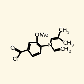 C=CN(C=C(C)C)c1ccc(C(=O)Cl)cc1OC